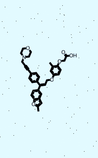 Cc1cc2cc(C(=CCOc3ccc(OCC(=O)O)c(C)c3)c3ccc(C#CCN4CCOCC4)cc3)ccc2o1